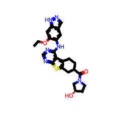 CCOc1cc2[nH]ncc2cc1Nc1ncnc2sc3c(c12)CCC(C(=O)N1CC[C@@H](O)C1)C3